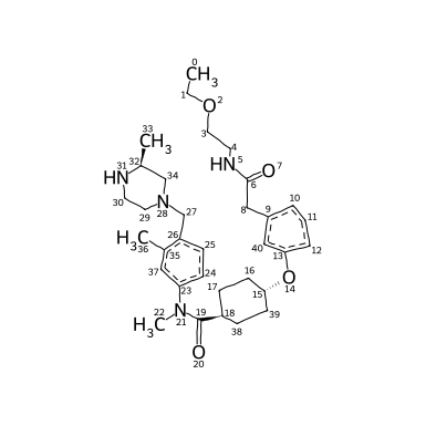 CCOCCNC(=O)Cc1cccc(O[C@H]2CC[C@H](C(=O)N(C)c3ccc(CN4CCN[C@@H](C)C4)c(C)c3)CC2)c1